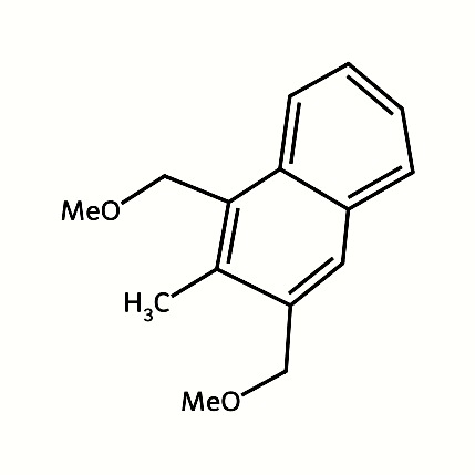 COCc1cc2ccccc2c(COC)c1C